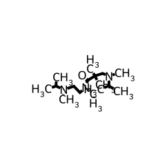 CC(C)N(C)CCN(C)C(=O)C(C)(C)CN(C)C(C)C